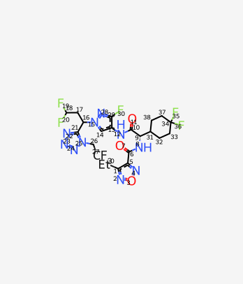 CCc1nonc1C(=O)N[C@H](C(=O)Nc1cn(C(CC(F)F)c2nnnn2CC(F)(F)F)nc1F)C1CCC(F)(F)CC1